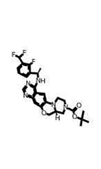 C[C@@H](Nc1ncnc2cc3c(cc12)N1CCN(C(=O)OC(C)(C)C)C[C@@H]1CO3)c1cccc(C(F)F)c1F